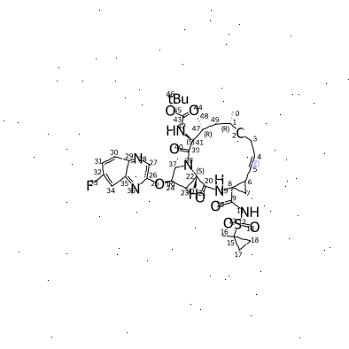 C[C@@H]1CC/C=C\C2CC2(C(=O)NS(=O)(=O)C2(C)CC2)NC(=O)[C@@H]2C[C@@H](Oc3cnc4ccc(F)cc4n3)CN2C(=O)[C@@H](NC(=O)OC(C)(C)C)[C@H](C)C1